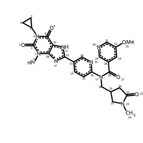 CCCn1c(=O)n(C2CC2)c(=O)c2[nH]c(-c3ccc(N(CC4CC(=O)N(C)C4)C(=O)c4cncc(OC)c4)nc3)nc21